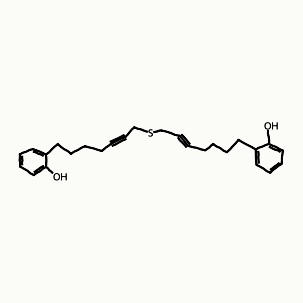 Oc1ccccc1CCCCC#CCSCC#CCCCCc1ccccc1O